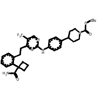 CC(C)(C)OC(=O)N1CCC(c2ccc(Nc3ncc(C(F)(F)F)c(CCc4ccccc4C4(C(N)=O)CCC4)n3)cc2)CC1